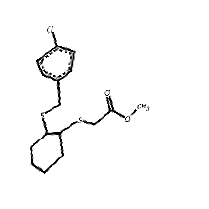 COC(=O)CSC1CCCCC1SCc1ccc(Cl)cc1